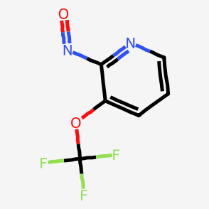 O=Nc1ncccc1OC(F)(F)F